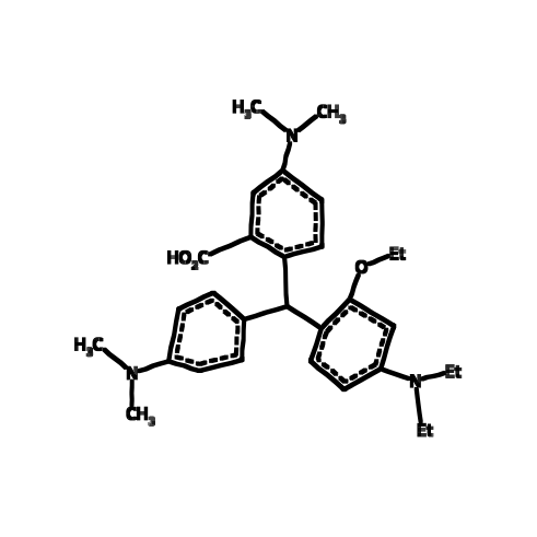 CCOc1cc(N(CC)CC)ccc1C(c1ccc(N(C)C)cc1)c1ccc(N(C)C)cc1C(=O)O